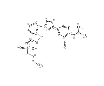 [C-]#[N+]c1cc(-c2nc(-c3cccc4c3CC[C@H]4NS(=O)(=O)CCOC)no2)ccc1OC(C)C